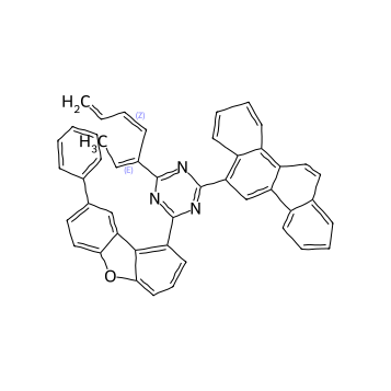 C=C/C=C\C(=C/C)c1nc(-c2cc3c4ccccc4ccc3c3ccccc23)nc(-c2cccc3oc4ccc(-c5ccccc5)cc4c23)n1